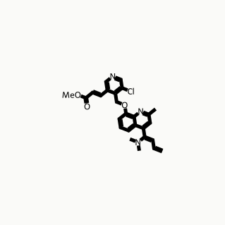 C=C/C=C(/c1cc(C)nc2c(OCc3c(Cl)cncc3/C=C/C(=O)OC)cccc12)N(C)C